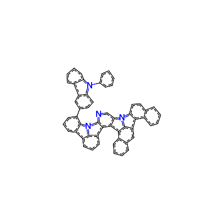 c1ccc(-n2c3ccccc3c3cc(-c4cccc5c6cccc7c8c9c%10c%11ccccc%11cc%11c%12c%13ccccc%13ccc%12n(c9cnc8n(c45)c67)c%11%10)ccc32)cc1